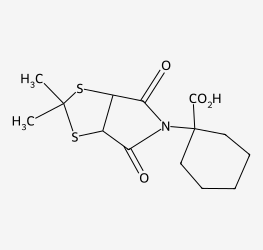 CC1(C)SC2C(=O)N(C3(C(=O)O)CCCCC3)C(=O)C2S1